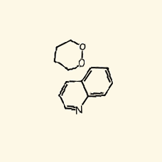 C1CCOOC1.c1ccc2ncccc2c1